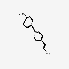 CCC[C@H]1CC[C@H]([C@H]2CC[C@H](CCC(F)(F)F)CC2)CC1